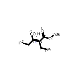 CCCCOC(=O)/C(CC(C)C)=C(/CC(C)C)C(=O)O